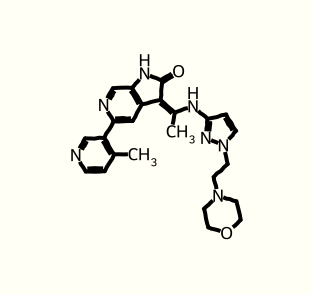 C/C(Nc1ccn(CCN2CCOCC2)n1)=C1/C(=O)Nc2cnc(-c3cnccc3C)cc21